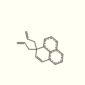 C=CCC1(CC=C)C=Cc2cccc3cccc1c23